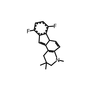 CN1CC(C)(C)CC2=C1C=CC1C2=Cc2c(F)ccc(F)c21